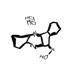 Cl.Cl.ON=C1c2ccccc2-c2nc3ccccc3nc21